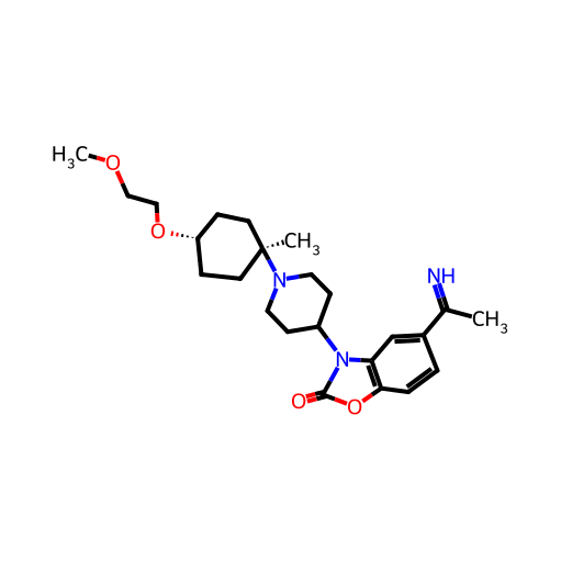 COCCO[C@H]1CC[C@](C)(N2CCC(n3c(=O)oc4ccc(C(C)=N)cc43)CC2)CC1